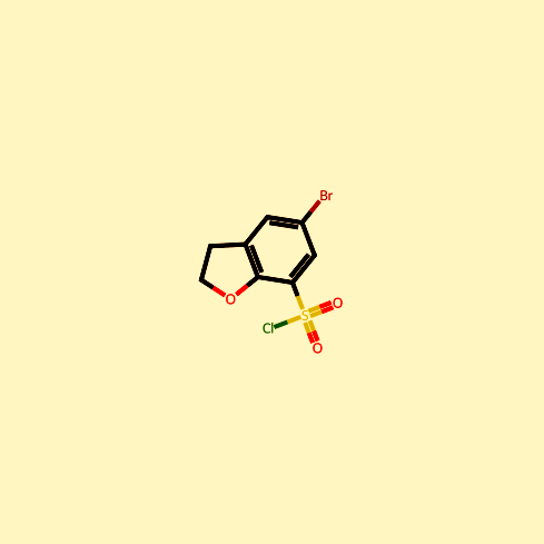 O=S(=O)(Cl)c1cc(Br)cc2c1OCC2